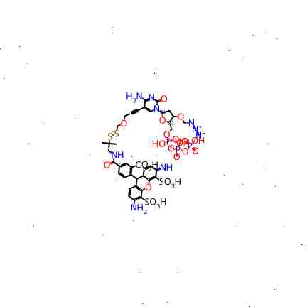 CC(C)(CNC(=O)c1ccc(C2c3ccc(N)c(S(=O)(=O)O)c3OC3=C(S(=O)(=O)O)C(=N)C=CC32)c(C(=O)O)c1)SSCOCC#Cc1cn([C@H]2CC(OCN=[N+]=[N-])[C@@H](COP(=O)(O)OP(=O)(O)OP(=O)(O)O)O2)c(=O)nc1N